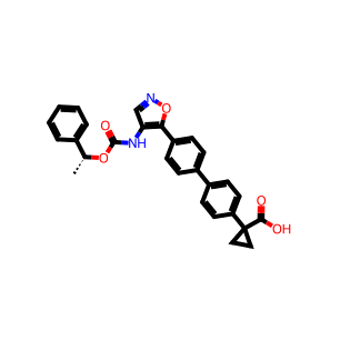 C[C@@H](OC(=O)Nc1cnoc1-c1ccc(-c2ccc(C3(C(=O)O)CC3)cc2)cc1)c1ccccc1